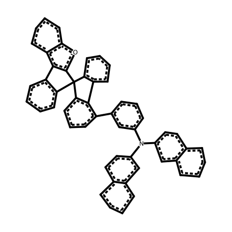 c1cc(-c2cccc3c2-c2ccccc2C32c3ccccc3-c3c2oc2ccccc32)cc(N(c2ccc3ccccc3c2)c2ccc3ccccc3c2)c1